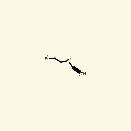 C#CSCCCC